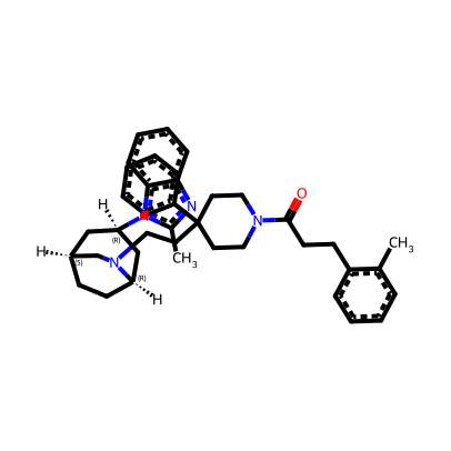 Cc1ccccc1CCC(=O)N1CCC(CCN2C[C@H]3CC[C@@H]2C[C@H](n2c(C)nc4ccccc42)C3)(c2ccccc2)CC1